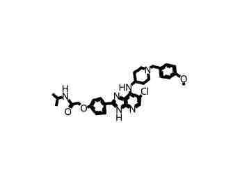 COc1ccc(CN2CCC(Nc3c(Cl)cnc4[nH]c(-c5ccc(OCC(=O)NC(C)C)cc5)nc34)CC2)cc1